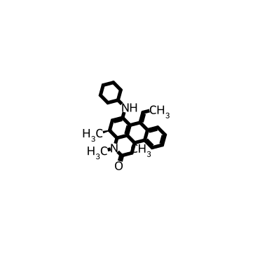 C/C=C1/C2=C3C([C@@H](C)C=C2NC2CCCCC2)N(C)C(=O)C[C@@]3(C)c2ccccc21